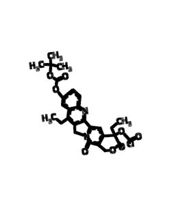 CCc1c2c(nc3ccc(OC(=O)OC(C)(C)C)cc13)-c1cc3c(c(=O)n1C2)COC(=O)C3(CC)OC(=O)Cl